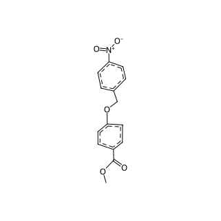 COC(=O)c1ccc(OCc2ccc([N+](=O)[O-])cc2)cc1